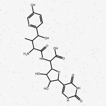 CC(C(N)C(=O)NC(C(=O)O)C1OC(c2c[nH]c(=O)[nH]c2=O)C(O)C1O)C(O)c1ccc(O)cn1